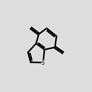 C=c1ccc(=C)c2sccc12